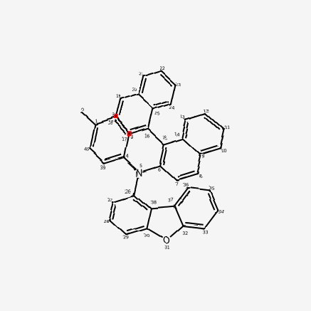 Cc1ccc(N(c2ccc3ccccc3c2-c2cccc3ccccc23)c2cccc3oc4ccccc4c23)cc1